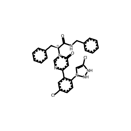 O=C(NCc1ccccc1)[C@H](Cc1ccccc1)n1cnc(-c2cc(Cl)ccc2N2C=C(Cl)NN2)cc1=O